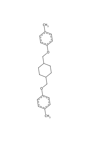 Cc1ccc(OCC2CCC(COc3ccc(C)cc3)CC2)cc1